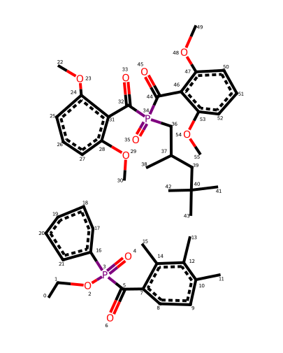 CCOP(=O)(C(=O)c1ccc(C)c(C)c1C)c1ccccc1.COc1cccc(OC)c1C(=O)P(=O)(CC(C)CC(C)(C)C)C(=O)c1c(OC)cccc1OC